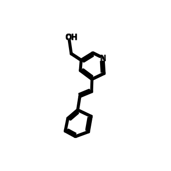 OCc1cncc(C=Cc2ccccc2)c1